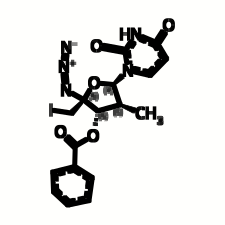 C[C@@H]1[C@H](n2ccc(=O)[nH]c2=O)O[C@@](CI)(N=[N+]=[N-])[C@H]1OC(=O)c1ccccc1